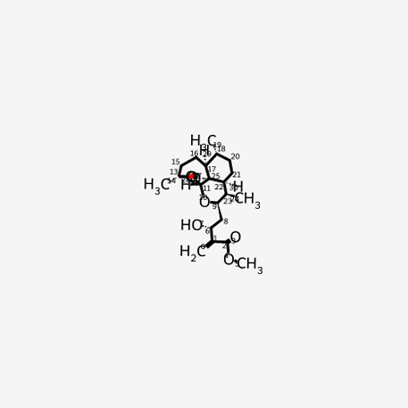 C=C(C(=O)OC)[C@H](O)C[C@H]1O[C@@H]2O[C@]3(C)CC[C@H]4[C@H](C)CC[C@@H]([C@H]1C)[C@@]24OO3